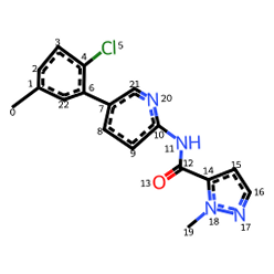 Cc1ccc(Cl)c(-c2ccc(NC(=O)c3ccnn3C)nc2)c1